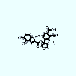 Cc1c(C2(NC(=O)c3cc4c(Cl)c(Cl)ccc4n3C)CCOC2)ccc(C(=O)O)c1C#N